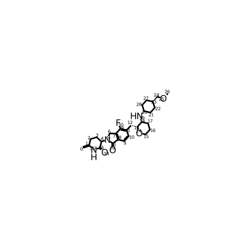 C=C1CCC(N2Cc3c(ccc(C[C@H]4OCCC[C@@H]4N[C@H]4CC[C@H](COC)CC4)c3F)C2=O)C(=O)N1